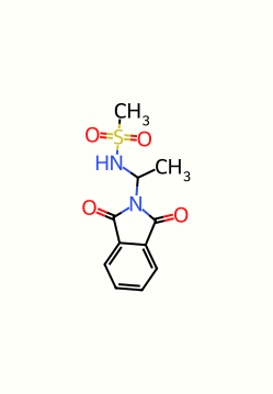 CC(NS(C)(=O)=O)N1C(=O)c2ccccc2C1=O